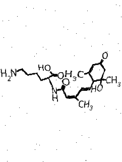 CC1=CC(=O)CC(C)(O)C1/C=C/C(C)=C\C(=O)NC(CCCCN)C(=O)O